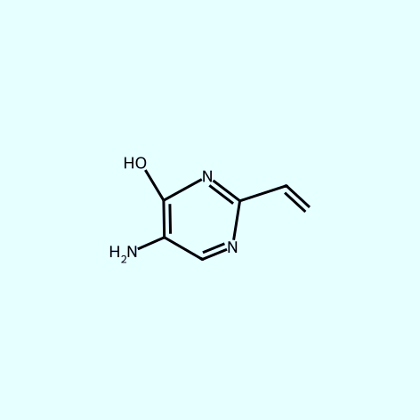 C=Cc1ncc(N)c(O)n1